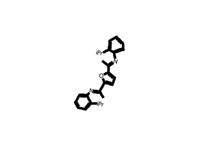 CC(=Nc1ccccc1C(C)C)c1ccc(C(C)=Nc2ccccc2C(C)C)o1